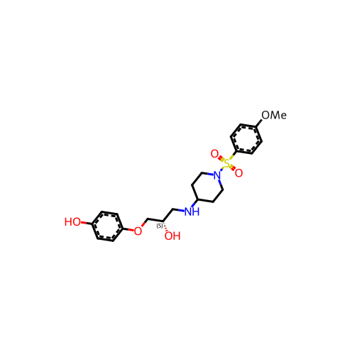 COc1ccc(S(=O)(=O)N2CCC(NC[C@H](O)COc3ccc(O)cc3)CC2)cc1